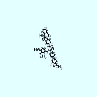 C=Cc1cc(C[C@@H](OC(=O)N2CCC(N3CCc4ccccc4NC3=O)CC2)C(=O)N2CCC(N3CCC(O)(CC)CC3)CC2)ccc1O